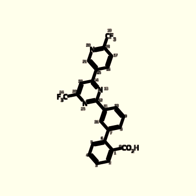 O=C(O)c1ccccc1-c1cccc(-c2nc(-c3ccc(C(F)(F)F)nc3)cc(C(F)(F)F)n2)c1